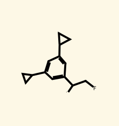 [CH2]C(CF)c1cc(C2CC2)cc(C2CC2)c1